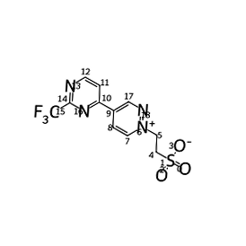 O=S(=O)([O-])CC[n+]1ccc(-c2ccnc(C(F)(F)F)n2)cn1